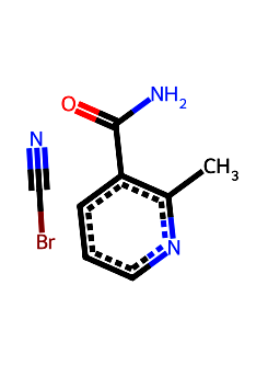 Cc1ncccc1C(N)=O.N#CBr